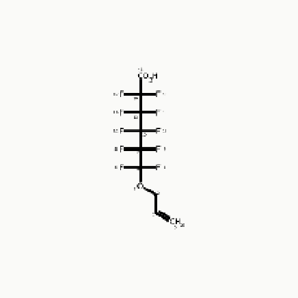 C=CCOC(F)(F)C(F)(F)C(F)(F)C(F)(F)C(F)(F)C(=O)O